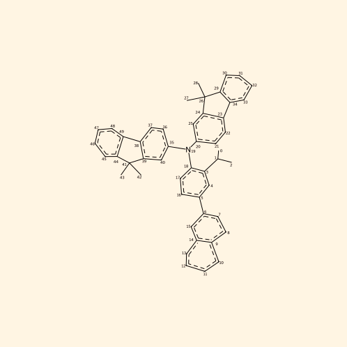 CC(C)c1cc(-c2ccc3ccccc3c2)ccc1N(c1ccc2c(c1)C(C)(C)c1ccccc1-2)c1ccc2c(c1)C(C)(C)c1ccccc1-2